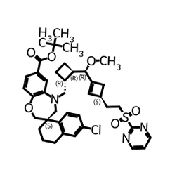 CO[C@@H](C1=C[C@H](CCS(=O)(=O)c2ncccn2)C1)[C@@H]1CC[C@H]1CN1C[C@@]2(CCCc3cc(Cl)ccc32)COc2ccc(C(=O)OC(C)(C)C)cc21